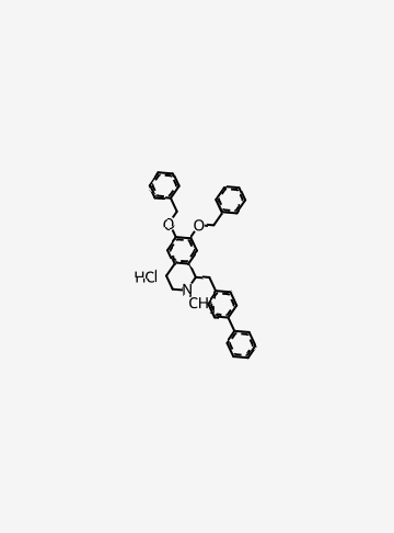 CN1CCc2cc(OCc3ccccc3)c(OCc3ccccc3)cc2C1Cc1ccc(-c2ccccc2)cc1.Cl